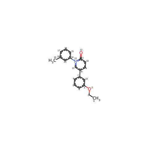 CCOc1cccc(-c2ccc(=O)n(-c3cccc(C)c3)c2)c1